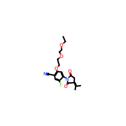 CCOCCOCCOc1cc(N2C(=O)CC(=C(C)C)C2=O)c(F)cc1C#N